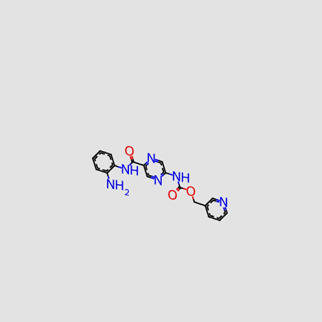 Nc1ccccc1NC(=O)c1cnc(NC(=O)OCc2cccnc2)cn1